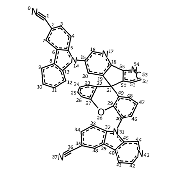 N#Cc1ccc2c(c1)c1ccccc1n2-c1cnc2c(c1)C1(c3ccccc3Oc3c(-n4c5ccc(C#N)cc5c5ccncc54)cccc31)c1cccnc1-2